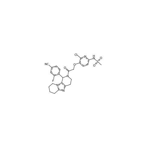 CS(=O)(=O)Nc1ccc(OCC(=O)N2CCc3nc4n(c3C2c2ccc(C#N)cc2F)CCCC4)c(Cl)n1